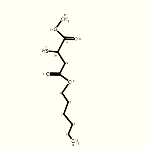 CCCCCCOC(=O)CC(S)C(=O)OC